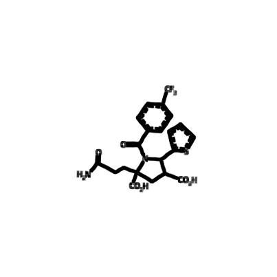 NC(=O)CCC1(C(=O)O)CC(C(=O)O)C(c2cccs2)N1C(=O)c1ccc(C(F)(F)F)cc1